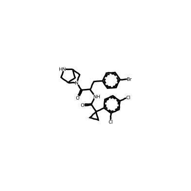 O=C(C(Cc1ccc(Br)cc1)NC(=O)C1(c2ccc(Cl)cc2Cl)CC1)N1CC2CC1CN2